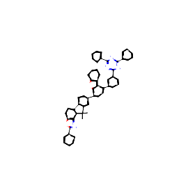 CC1(C)c2cc(-c3ccc(-c4cccc(-c5nc(-c6ccccc6)nc(-c6ccccc6)n5)c4)c4c3oc3ccccc34)ccc2-c2ccc3oc(-c4ccccc4)nc3c21